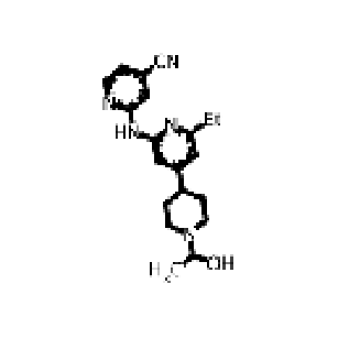 CCc1cc(C2CCN(C(C)O)CC2)cc(Nc2cc(C#N)ccn2)n1